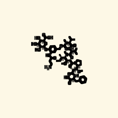 CC[C@H](C)[C@@H]([C@@H](CC(=O)N1CCC[C@H]1[C@H](OC)[C@@H](C)C(=O)N[C@@H](Cc1ccccc1)C(=O)O)OC)N(C)C(=O)[C@@H](NC(=O)[C@H](C(C)C)N(C)C(=O)OCc1ccc(O[C@@H]2O[C@H](C(=O)O)[C@@H](O)[C@H](O)[C@H]2O)c(NC(=O)CCN)c1)C(C)C